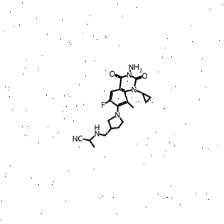 Cc1c(N2CCC(CNC(C)C#N)C2)c(F)cc2c(=O)n(N)c(=O)n(C3CC3)c12